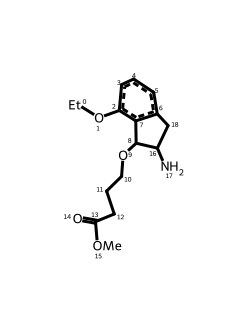 CCOc1cccc2c1C(OCCCC(=O)OC)C(N)C2